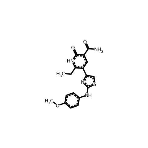 CCc1[nH]c(=O)c(C(N)=O)cc1-c1csc(Nc2ccc(OC)cc2)n1